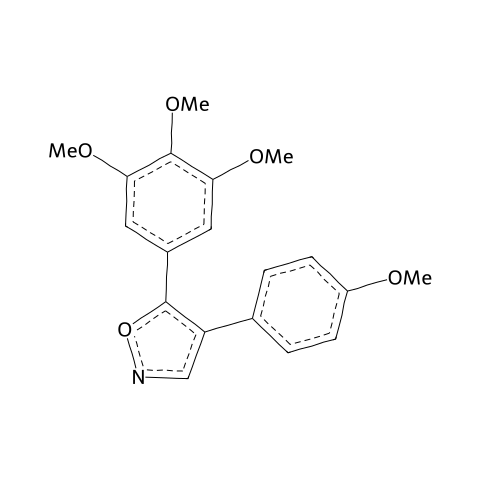 COc1ccc(-c2cnoc2-c2cc(OC)c(OC)c(OC)c2)cc1